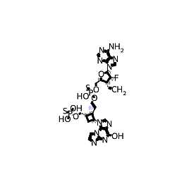 C=C[C@H]1[C@@H](F)[C@H](n2cnc3c(N)ncnc32)O[C@@H]1COP(O)(=S)O/C=C/[C@@H]1[C@@H](COP(O)(O)=S)C[C@H]1n1cnc2c(O)nc3nccn3c21